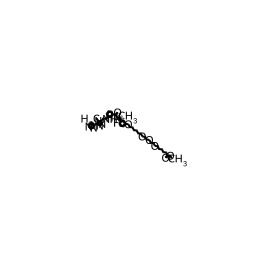 COC(=O)CCCCCOCCOCCOCCCCCCOc1ccc(F)c([C@@H](C)NC(=O)c2cccc(NCc3nnc(-c4ccncn4)n3C)c2)c1